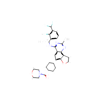 Cc1nc(N[C@H](C)c2cccc(C(F)F)c2F)c2cc([C@H]3CC[C@@H](C(=O)N4CCOCC4)CC3)c3c(c2n1)CCO3